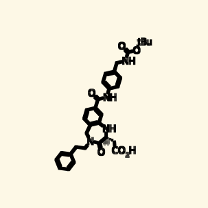 CC(C)(C)OC(=O)NCc1ccc(NC(=O)c2ccc3c(c2)N[C@H](CC(=O)O)C(=O)N(CCc2ccccc2)C3)cc1